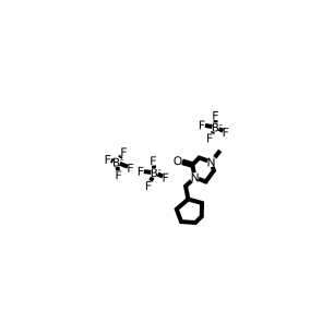 CN1CCN(CC2CCCCC2)C(=O)C1.F[B-](F)(F)F.F[B-](F)(F)F.F[B-](F)(F)F